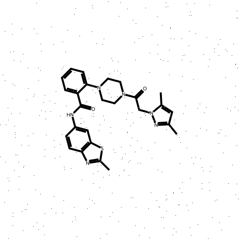 Cc1cc(C)n(CC(=O)N2CCN(c3ccccc3C(=O)Nc3ccc4nc(C)sc4c3)CC2)n1